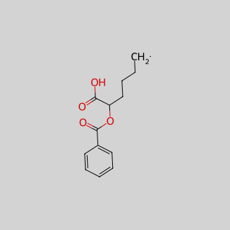 [CH2]CCCC(OC(=O)c1ccccc1)C(=O)O